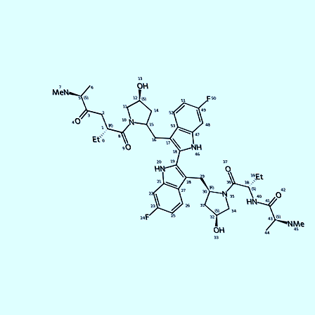 CC[C@H](CC(=O)[C@H](C)NC)C(=O)N1C[C@@H](O)CC1Cc1c(-c2[nH]c3cc(F)ccc3c2C[C@@H]2C[C@H](O)CN2C(=O)[C@H](CC)NC(=O)[C@H](C)NC)[nH]c2cc(F)ccc12